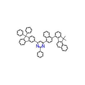 CC1(C)c2cccc(-c3ccc(-c4cc(-c5ccc6c(c5)-c5ccccc5C6(c5ccccc5)c5ccccc5)nc(-c5ccccc5)n4)c4ccccc34)c2-c2ccc3ccccc3c21